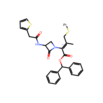 C/C(CSC(C)C)=C(\C(=O)OC(c1ccccc1)c1ccccc1)N1CC(NC(=O)Cc2cccs2)C1=O